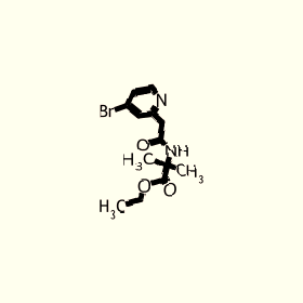 CCOC(=O)C(C)(C)NC(=O)Cc1cc(Br)ccn1